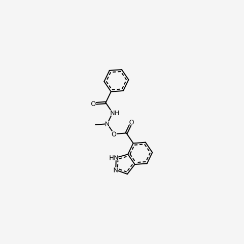 CN(NC(=O)c1ccccc1)OC(=O)c1cccc2cn[nH]c12